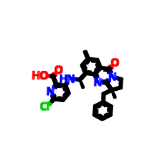 Cc1cc([C@@H](C)Nc2ccc(Cl)nc2C(=O)O)c2nc3n(c(=O)c2c1)CC[C@]3(C)Cc1ccccc1